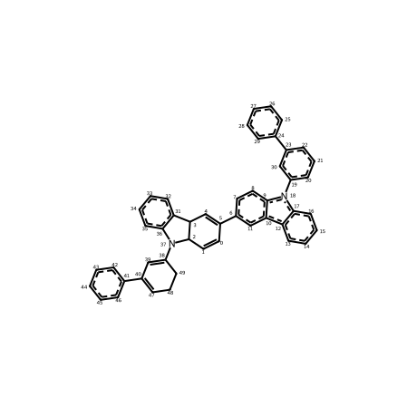 C1=CC2C(C=C1c1ccc3c(c1)c1ccccc1n3-c1cccc(-c3ccccc3)c1)c1ccccc1N2C1=CC(c2ccccc2)=CCC1